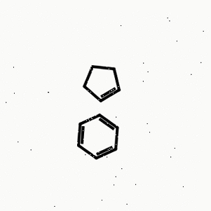 C1=CCCC1.c1ccccc1